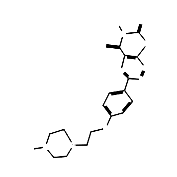 CN1CCN(CCOc2ccc(-c3nnc4[nH]c(=O)n(C)c(=O)c4n3)cc2)CC1